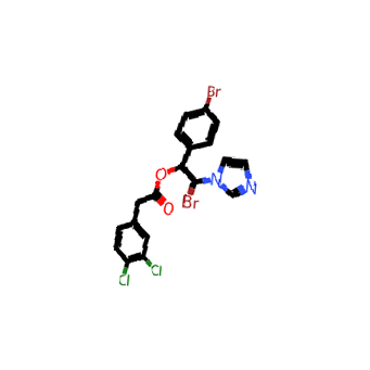 O=C(Cc1ccc(Cl)c(Cl)c1)OC(c1ccc(Br)cc1)C(Br)n1ccnc1